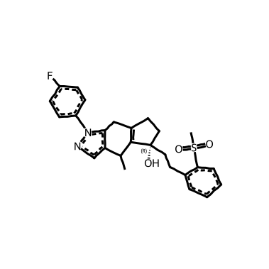 CC1C2=C(CC[C@@]2(O)CCc2ccccc2S(C)(=O)=O)Cc2c1cnn2-c1ccc(F)cc1